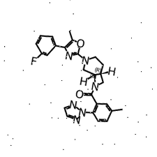 Cc1ccc(-n2nccn2)c(C(=O)N2C[C@H]3CCN(c4nc(-c5cccc(F)c5)c(C)o4)C[C@H]32)c1